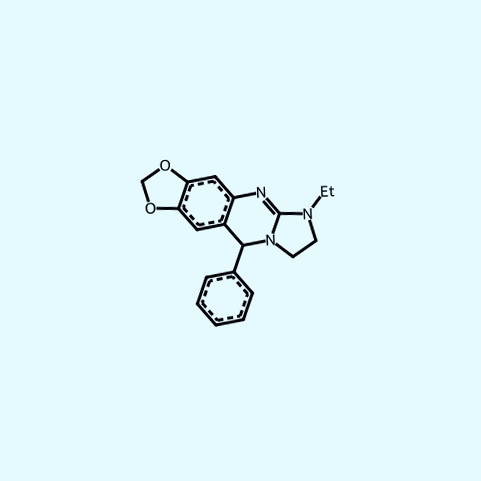 CCN1CCN2C1=Nc1cc3c(cc1C2c1ccccc1)OCO3